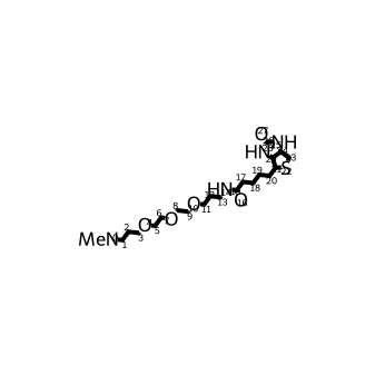 CNCCCOCCOCCOCCCNC(=O)CCCCC1SCC2NC(=O)NC21